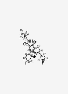 O=C(NC12CCC(F)(CC1)CC2)c1cn(-c2ccc(F)cc2F)c2nc(N3CC[C@H](F)C3)ccc2c1=O